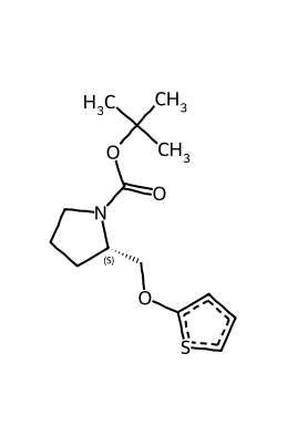 CC(C)(C)OC(=O)N1CCC[C@H]1COc1cccs1